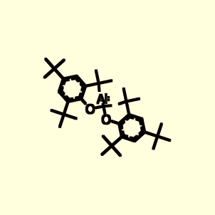 C[C]([Al])(Oc1c(C(C)(C)C)cc(C(C)(C)C)cc1C(C)(C)C)Oc1c(C(C)(C)C)cc(C(C)(C)C)cc1C(C)(C)C